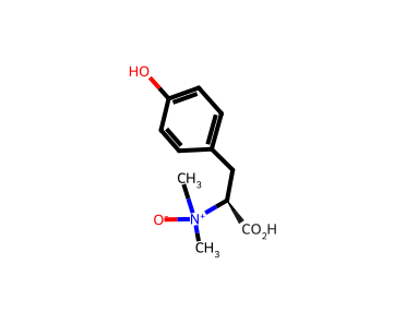 C[N+](C)([O-])[C@@H](Cc1ccc(O)cc1)C(=O)O